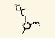 Cc1cc(N)n(CCC2(C)COC2)n1